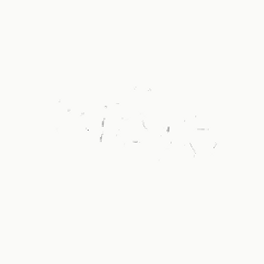 Cc1ccccc1C(=O)Nc1ccc(S(=O)(=O)NCC2CCCCC2)c2c1CCCC2